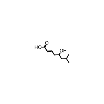 CC(C)CC(O)CC=CC(=O)O